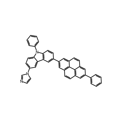 c1ccc(-c2cc3ccc4cc(-c5ccc6c(c5)c5cc(-n7ccnc7)ccc5n6-c5ccccc5)cc5ccc(c2)c3c45)cc1